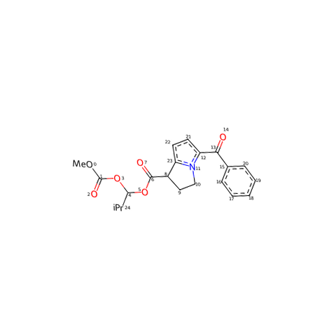 COC(=O)OC(OC(=O)C1CCn2c(C(=O)c3ccccc3)ccc21)C(C)C